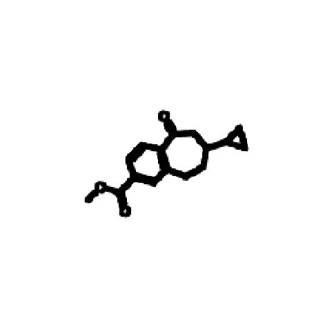 COC(=O)c1ccc2c(c1)CCC(C1CC1)CC2=O